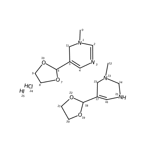 CN1C=NC=C(C2OCCO2)C1.CN1CNC=C(C2OCCO2)C1.Cl.I